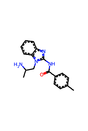 Cc1ccc(C(=O)Nc2nc3ccccc3n2CC(C)N)cc1